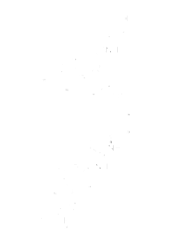 O=C(NCCO)c1cc(OC2CCC(NC(=S)Nc3cccc(OC(F)(F)F)c3)CC2)ccc1OC(F)(F)F